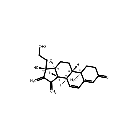 C=C1C(=C)[C@](O)(CCC=O)[C@@]2(C)CC[C@H]3[C@@H](C=CC4=CC(=O)CC[C@@]43C)[C@H]12